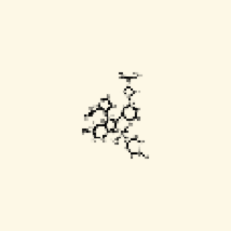 CC1CCN(S(=O)(=O)n2c(-c3cccc(N4CC(C(=O)O)C4)c3)c(-c3ccsc3C#N)c3cc(F)ccc32)CC1